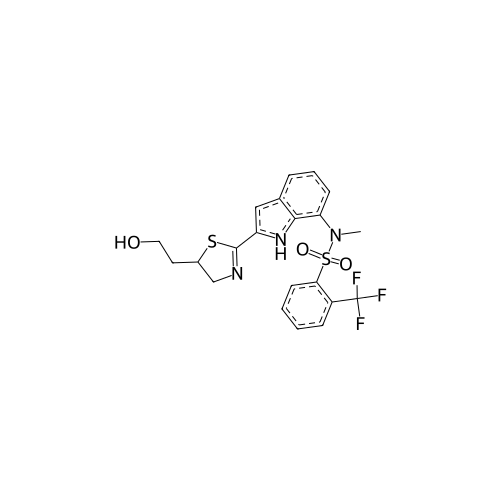 CN(c1cccc2cc(C3=NCC(CCO)S3)[nH]c12)S(=O)(=O)c1ccccc1C(F)(F)F